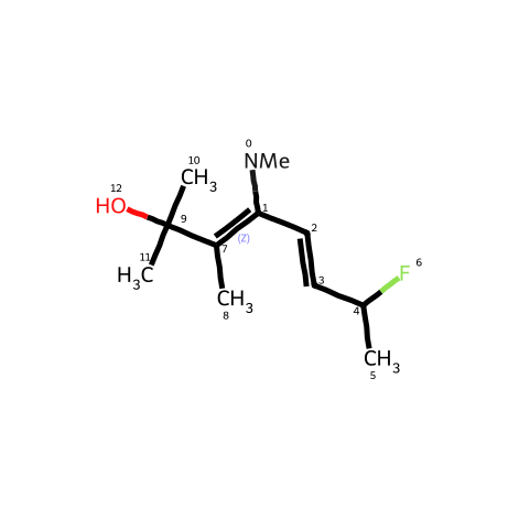 CN/C(C=CC(C)F)=C(/C)C(C)(C)O